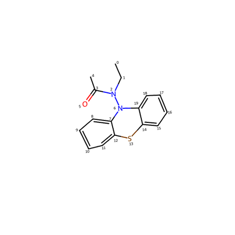 CCN(C(C)=O)N1c2ccccc2Sc2ccccc21